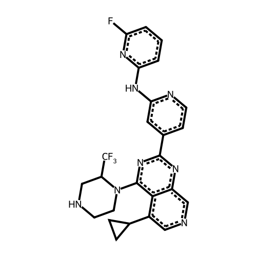 Fc1cccc(Nc2cc(-c3nc(N4CCNCC4C(F)(F)F)c4c(C5CC5)cncc4n3)ccn2)n1